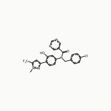 Cn1nc(-c2ccc(N(Cc3ccc(Cl)cc3)C(=O)c3cncnc3)cc2O)cc1C(F)(F)F